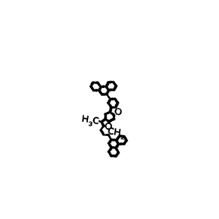 C=C(/C=C\c1oc2cc3oc4ccc(-c5cc6ccccc6c6ccccc56)cc4c3cc2c1C)c1cc2ccccc2c2ccccc12